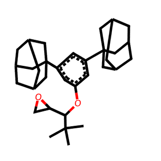 CC(C)(C)C(Oc1cc(C23CC4CC(CC(C4)C2)C3)cc(C23CC4CC(CC(C4)C2)C3)c1)C1CO1